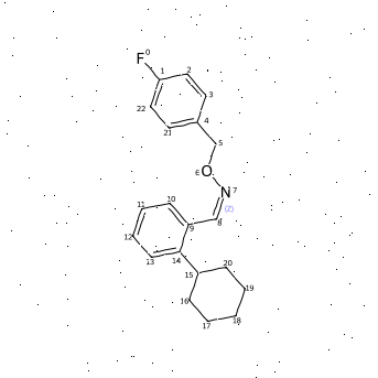 Fc1ccc(CO/N=[C]\c2ccccc2C2CCCCC2)cc1